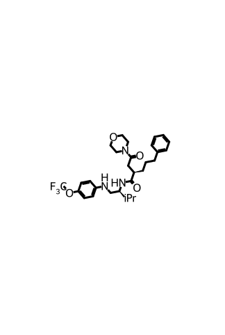 CC(C)[C@@H](CNc1ccc(OC(F)(F)F)cc1)NC(=O)[C@H](CCCc1ccccc1)CC(=O)N1CCOCC1